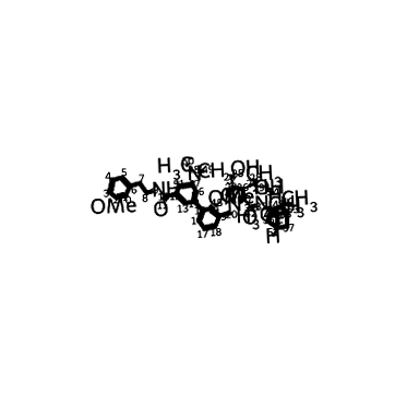 COc1ccccc1CCNC(=O)c1cc(-c2cccc(CN3O[C@@H](CO)[C@@H]([C@H](C)O)[C@H]3C(=O)NC3C[C@H]4C[C@@H]([C@@H]3C)C4(C)C)c2OC)cc(N(C)C)c1